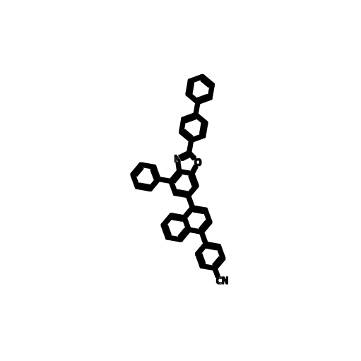 N#Cc1ccc(-c2ccc(-c3cc(-c4ccccc4)c4nc(-c5ccc(-c6ccccc6)cc5)oc4c3)c3ccccc23)cc1